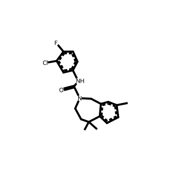 Cc1ccc2c(c1)CN(C(=O)Nc1ccc(F)c(Cl)c1)CCC2(C)C